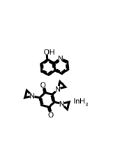 O=C1C=C(N2CC2)C(=O)C(N2CC2)=C1N1CC1.Oc1cccc2cccnc12.[InH3]